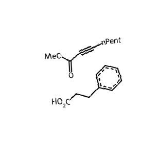 CCCCCC#CC(=O)OC.O=C(O)CCc1ccccc1